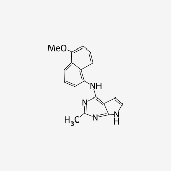 COc1cccc2c(Nc3nc(C)nc4[nH]ccc34)cccc12